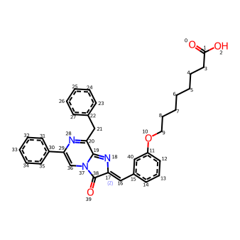 O=C(O)CCCCCCCOc1cccc(/C=C2\N=C3C(Cc4ccccc4)=NC(c4ccccc4)=CN3C2=O)c1